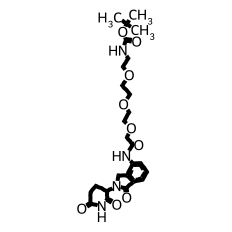 CC(C)(C)OC(=O)NCCOCCOCCOCC(=O)Nc1cccc2c1CN(C1CCC(=O)NC1=O)C2=O